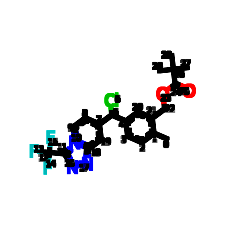 Cc1ccc(C(Cl)c2ccn3c(C(F)(F)F)nnc3c2)cc1COC(=O)C(C)(C)C